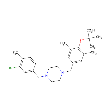 Cc1cc(CN2CCN(Cc3ccc(C(F)(F)F)c(Br)c3)CC2)cc(C)c1OC(C)(C)C(=O)O